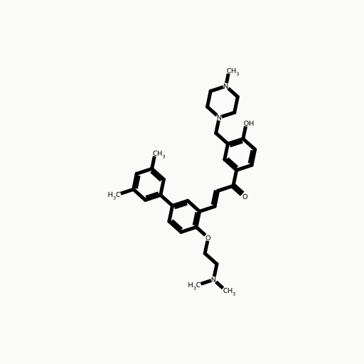 Cc1cc(C)cc(-c2ccc(OCCN(C)C)c(C=CC(=O)c3ccc(O)c(CN4CCN(C)CC4)c3)c2)c1